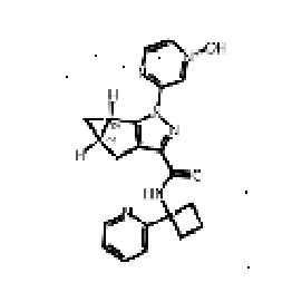 O=C(NC1(c2ccccn2)CCC1)c1nn(-c2c[n+](O)ccn2)c2c1C[C@@H]1C[C@H]21